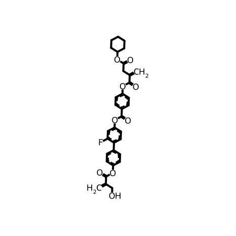 C=C(CO)C(=O)Oc1ccc(-c2ccc(OC(=O)c3ccc(OC(=O)C(=C)CC(=O)OC4CCCCC4)cc3)cc2F)cc1